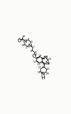 CC(=O)N1CCN(CCCOc2ccc3c(C4CCNCC4)ncnc3c2)CC1